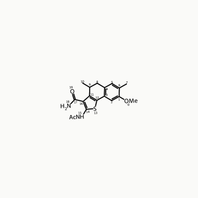 COc1cc2c(cc1C)CC(C)c1c-2sc(NC(C)=O)c1C(N)=O